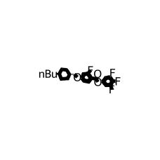 CCCC[C@H]1CC[C@H](COc2ccc(C(=O)Oc3cc(F)c(F)c(F)c3)c(F)c2)CC1